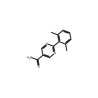 Cc1cccc(C)c1-c1ncc(C(N)=O)cn1